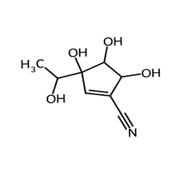 CC(O)C1(O)C=C(C#N)C(O)C1O